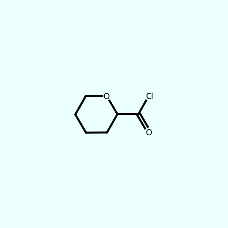 O=C(Cl)C1CCCCO1